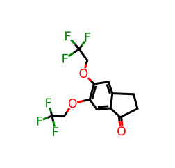 O=C1CCc2cc(OCC(F)(F)F)c(OCC(F)(F)F)cc21